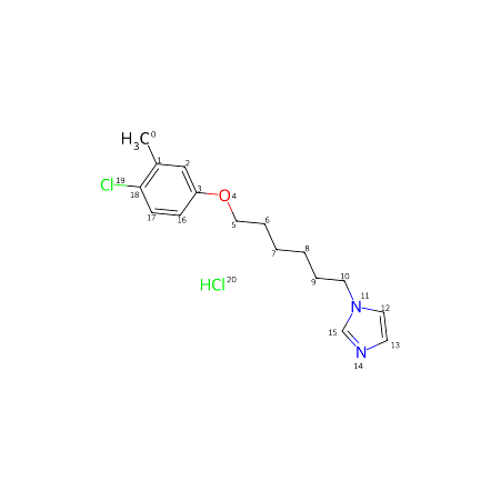 Cc1cc(OCCCCCCn2ccnc2)ccc1Cl.Cl